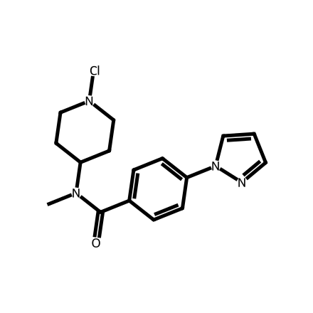 CN(C(=O)c1ccc(-n2cccn2)cc1)C1CCN(Cl)CC1